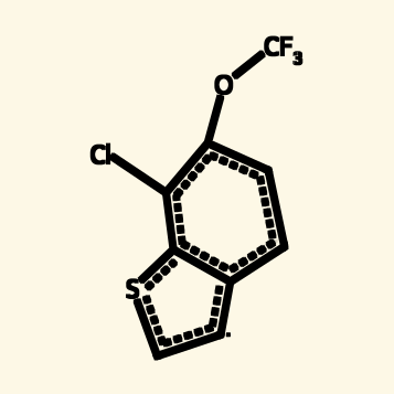 FC(F)(F)Oc1ccc2[c]csc2c1Cl